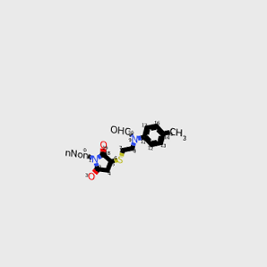 CCCCCCCCCN1C(=O)CC(SCCN(C=O)c2ccc(C)cc2)C1=O